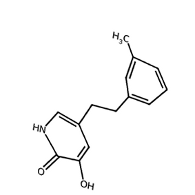 Cc1cccc(CCc2c[nH]c(=O)c(O)c2)c1